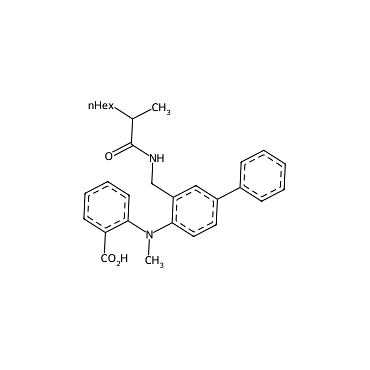 CCCCCCC(C)C(=O)NCc1cc(-c2ccccc2)ccc1N(C)c1ccccc1C(=O)O